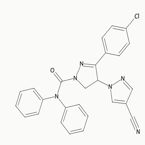 N#Cc1cnn(C2CN(C(=O)N(c3ccccc3)c3ccccc3)N=C2c2ccc(Cl)cc2)c1